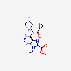 CCn1c(C(=O)OC)nc2c(N(C(=O)C3CC3)[C@H]3CCNC3)ncnc21